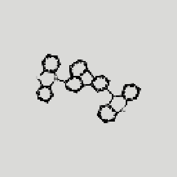 c1ccc2c(c1)Oc1ccccc1N2c1ccc2c(c1)-c1ccc(N3c4ccccc4Oc4ccccc43)c3cccc-2c13